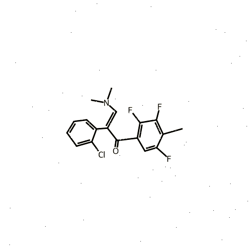 Cc1c(F)cc(C(=O)C(=CN(C)C)c2ccccc2Cl)c(F)c1F